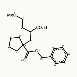 CCOC(=O)C(CCOC)CC1(C(=O)OCc2ccccc2)CCCC1